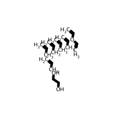 C=CC.C=CC.C=CC.C=CC.C=CC.C=COC=C.OCCO